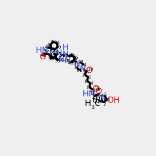 C[C@@H]1C[C@@H](O)CN1C(=O)[C@@H](NC(=O)CCCCCC(=O)N1CCN(c2ccc(Nc3ncc4cc5n(c4n3)C3(CCCCC3)CNC5=O)nc2)CC1)C(C)(C)C